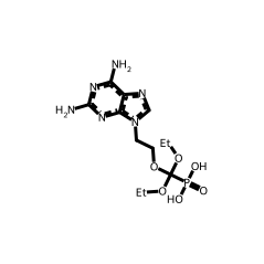 CCOC(OCC)(OCCn1cnc2c(N)nc(N)nc21)P(=O)(O)O